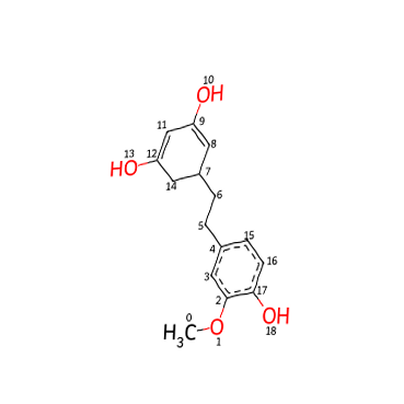 COc1cc(CCC2C=C(O)C=C(O)C2)ccc1O